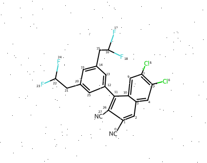 N#Cc1cc2cc(Cl)c(Cl)cc2c(-c2cc(CC(F)F)cc(CC(F)F)c2)c1C#N